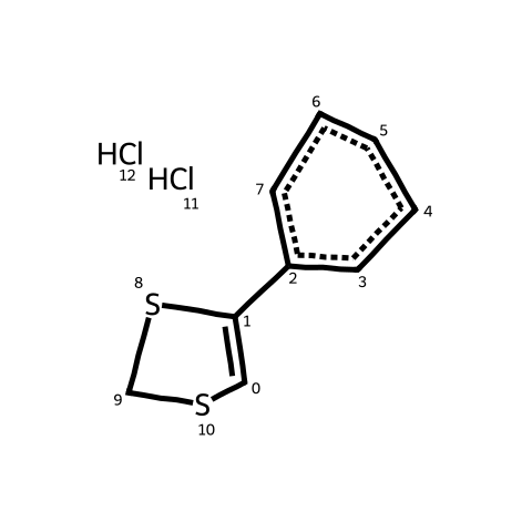 C1=C(c2ccccc2)SCS1.Cl.Cl